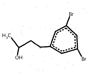 CC(O)C[CH]c1cc(Br)cc(Br)c1